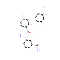 COc1ccc(Oc2cc(Cl)c(Cl)cc2C(=O)Nc2cccc(C(N)=O)c2)c(OC)c1